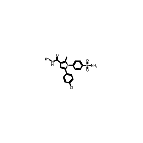 Cc1c(C(=O)NC(C)C)cc(-c2ccc(Cl)cc2)n1-c1ccc(S(N)(=O)=O)cc1